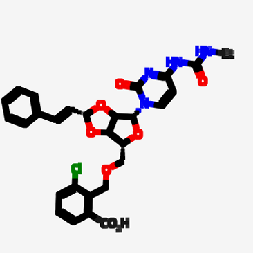 CCNC(=O)Nc1ccn([C@@H]2O[C@H](COCc3c(Cl)cccc3C(=O)O)C3O[C@H](/C=C/c4ccccc4)OC32)c(=O)n1